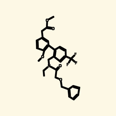 CCN(Cc1cc(C(F)(F)F)ccc1-c1cc(CC(=O)OC)ccc1OC)C(=O)COCc1ccccc1